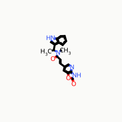 CC(c1c[nH]c2ccccc12)N(C)C(=O)C=Cc1cnc2[nH]c(=O)oc2c1